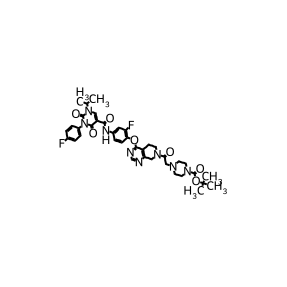 CC(C)n1cc(C(=O)Nc2ccc(Oc3ncnc4c3CCN(C(=O)CN3CCN(C(=O)OC(C)(C)C)CC3)C4)c(F)c2)c(=O)n(-c2ccc(F)cc2)c1=O